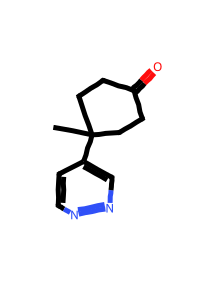 CC1(c2ccnnc2)CCC(=O)CC1